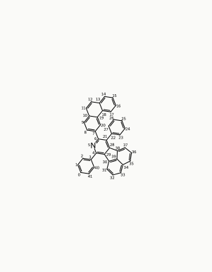 c1ccc(-c2nc(-c3ccc4ccc5ccccc5c4c3)c(-c3ccccc3)c3c2-c2cccc4cccc-3c24)cc1